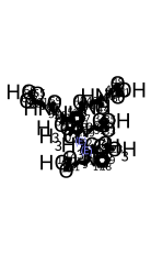 CC1(C)C(/C=C/C=C2/N(CCCS(=O)(=O)O)c3cccc(C(=O)O)c3C2(C)C)=[N+](CCCS(=O)(=O)O)c2cc(C(=O)NCC(=O)NCCS(=O)(=O)O)cc(C(=O)NCC(=O)NCCS(=O)(=O)O)c21